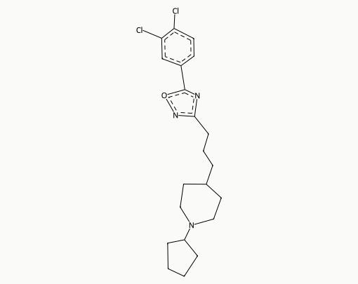 Clc1ccc(-c2nc(CCCC3CCN(C4CCCC4)CC3)no2)cc1Cl